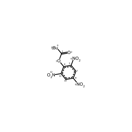 CC(C)(C)C(=O)Oc1c([N+](=O)[O-])cc([N+](=O)[O-])cc1[N+](=O)[O-]